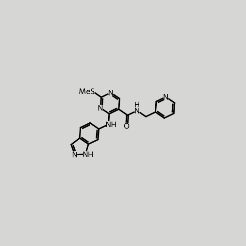 CSc1ncc(C(=O)NCc2cccnc2)c(Nc2ccc3cn[nH]c3c2)n1